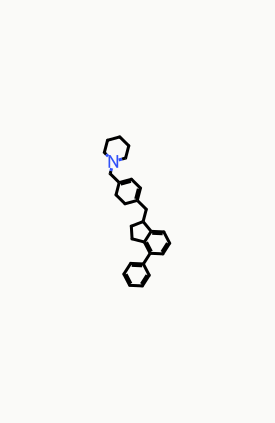 C1=C(CC2CCc3c(-c4ccccc4)cccc32)CCC(CN2CCCCC2)=C1